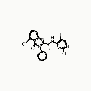 C[C@@H](Nc1nc(Cl)ncc1I)c1nc2cccc(Cl)c2c(=O)n1-c1ccccc1